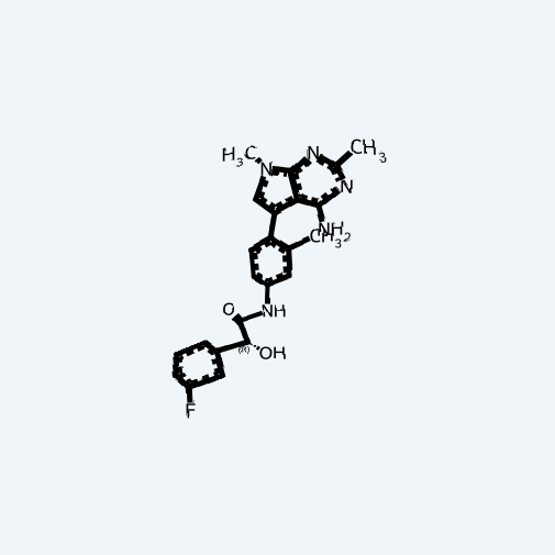 Cc1nc(N)c2c(-c3ccc(NC(=O)[C@H](O)c4cccc(F)c4)cc3C)cn(C)c2n1